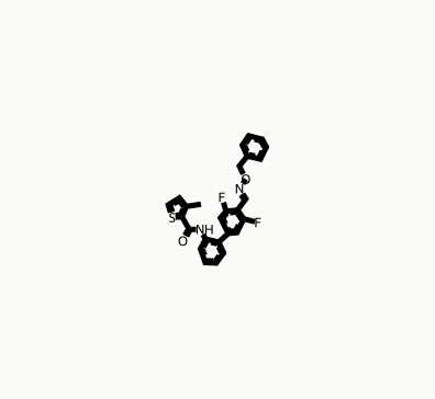 Cc1ccsc1C(=O)Nc1ccccc1-c1cc(F)c(C=NOCc2ccccc2)c(F)c1